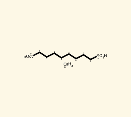 CCCCCCCCCCCCCCCCS(=O)(=O)O.[CaH2]